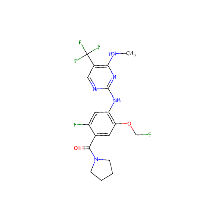 CNc1nc(Nc2cc(F)c(C(=O)N3CCCC3)cc2OCF)ncc1C(F)(F)F